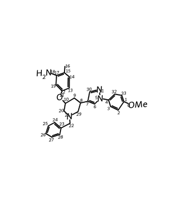 COc1ccc(-n2cc(C3CC(Oc4ccc(C)c(N)c4)CN(Cc4ccccc4)C3)cn2)cc1